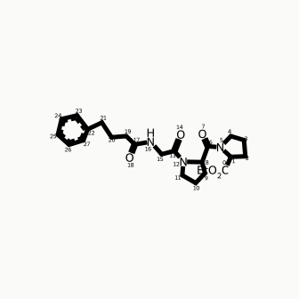 CCOC(=O)C1CCCN1C(=O)C1CCCN1C(=O)CNC(=O)CCCc1ccccc1